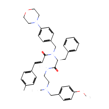 CC(C)Oc1ccc(CN(C)CCN(C)C(=O)[C@H](Cc2ccccc2)N(Cc2ccc(N3CCOCC3)cc2)C(=O)C=Cc2ccc(C(F)(F)F)cc2)cc1